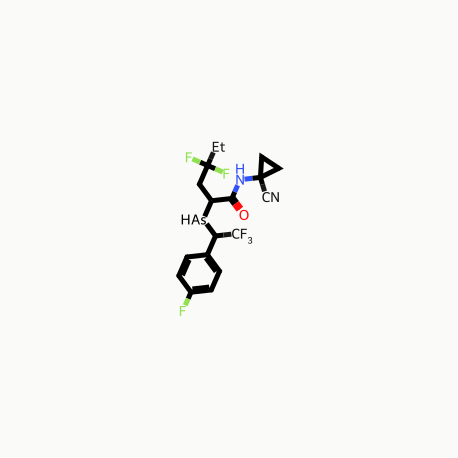 CCC(F)(F)CC([AsH]C(c1ccc(F)cc1)C(F)(F)F)C(=O)NC1(C#N)CC1